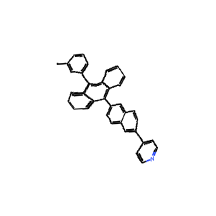 Cc1cccc(-c2c3ccccc3c(-c3ccc4cc(-c5ccncc5)ccc4c3)c3ccccc23)c1